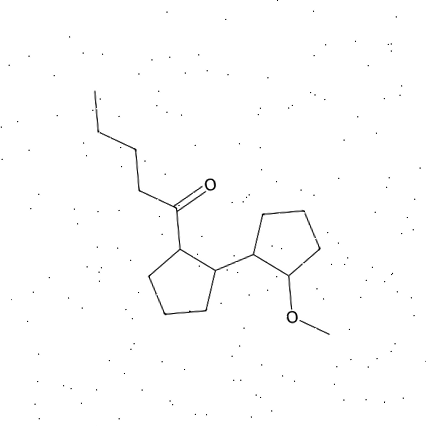 CCCCC(=O)C1CCCC1C1CCCC1OC